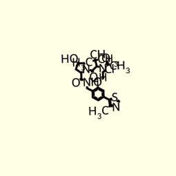 CC(=O)NC(C(=O)N1CC(O)CC1C(=O)NCc1ccc(-c2scnc2C)cc1OCCCl)C(C)(C)C